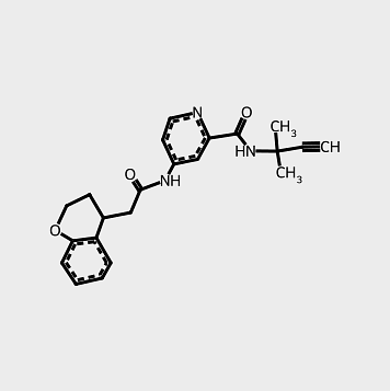 C#CC(C)(C)NC(=O)c1cc(NC(=O)CC2CCOc3ccccc32)ccn1